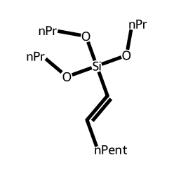 CCCCCC=C[Si](OCCC)(OCCC)OCCC